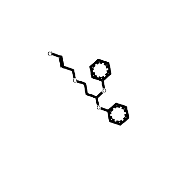 ClC=CCOCCC(Oc1ccccc1)Oc1ccccc1